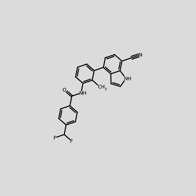 Cc1c(NC(=O)c2ccc(C(F)F)cc2)cccc1-c1ccc(C#N)c2[nH]ccc12